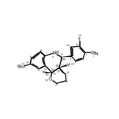 COc1ccc([C@@H]2Nc3ccc(C(C)(C)C)cc3[C@H]3OCCC[C@H]32)cc1F